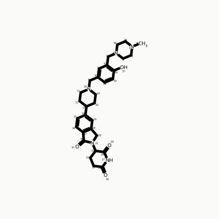 CN1CCN(Cc2cc(CN3CCC(c4ccc5c(c4)CN(C4CCC(=O)NC4=O)C5=O)CC3)ccc2O)CC1